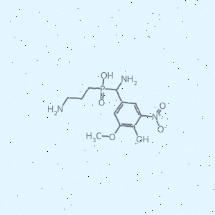 COc1cc(C(N)P(=O)(O)CCCN)cc([N+](=O)[O-])c1O